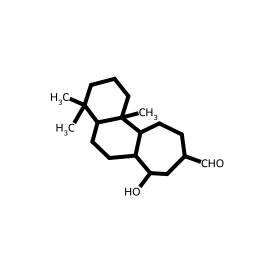 CC1(C)CCCC2(C)C3CCC(C=O)CC(O)C3CCC12